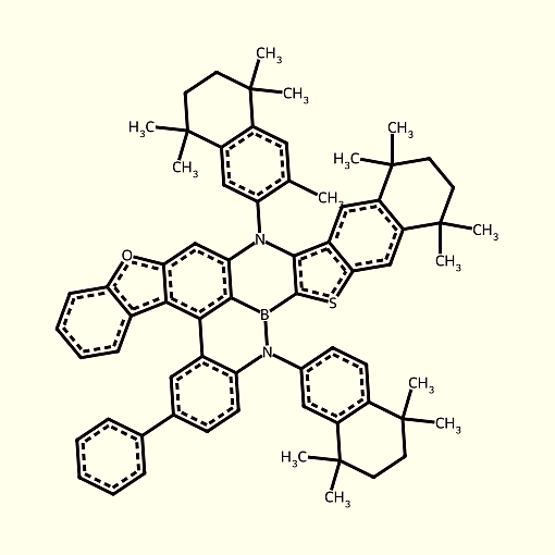 Cc1cc2c(cc1N1c3cc4oc5ccccc5c4c4c3B(c3sc5cc6c(cc5c31)C(C)(C)CCC6(C)C)N(c1ccc3c(c1)C(C)(C)CCC3(C)C)c1ccc(-c3ccccc3)cc1-4)C(C)(C)CCC2(C)C